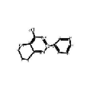 ClC1=C2OCCCC2=NS(c2ccccc2)=N1